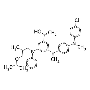 C=C(O)c1cc(C(=C)c2ccc(N(C)c3ccc(Cl)cc3)cc2)cc(N(CC(C)COC(C)C)c2ccccc2)c1